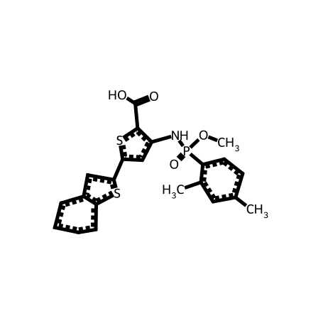 COP(=O)(Nc1cc(-c2cc3ccccc3s2)sc1C(=O)O)c1ccc(C)cc1C